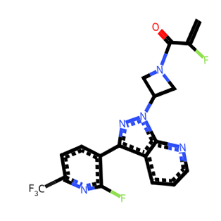 C=C(F)C(=O)N1CC(n2nc(-c3ccc(C(F)(F)F)nc3F)c3cccnc32)C1